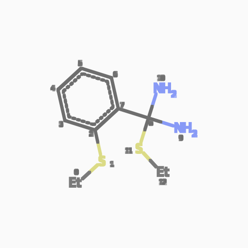 CCSc1ccccc1C(N)(N)SCC